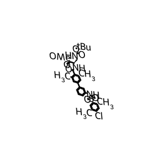 COC(=O)[C@@H](CNC(=O)OC(C)(C)C)NC(=O)c1c(C)cc(-c2cccc(NS(=O)(=O)c3cc(C)c(Cl)cc3C)c2)cc1C